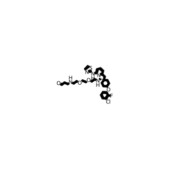 O=CCCNCCOCCOCCNC[C@]1(Cc2cccc(Nc3nccs3)n2)CC[C@@H](Oc2cccc(Cl)c2F)CC1